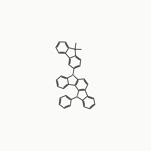 CC1(C)c2ccccc2-c2cc(-n3c4ccccc4c4c3ccc3c5ccccc5n(-c5ccccc5)c34)ccc21